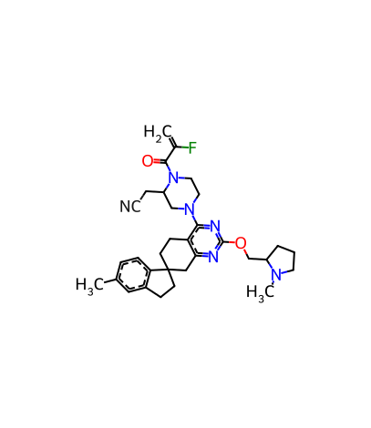 C=C(F)C(=O)N1CCN(c2nc(OCC3CCCN3C)nc3c2CCC2(CCc4cc(C)ccc42)C3)CC1CC#N